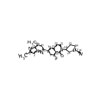 Cc1cn2nc(-c3cc(F)c4c(=O)n(C5CCB(C#N)C5)ccc4c3)cc(C)c2n1